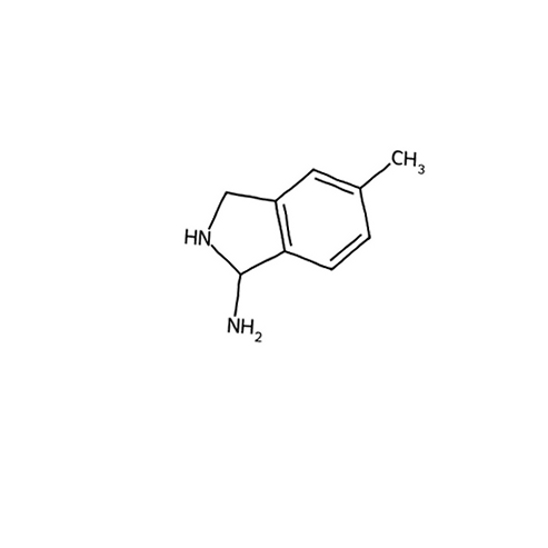 Cc1ccc2c(c1)CNC2N